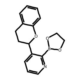 c1ccc2c(c1)CCC(c1cccnc1B1OCCO1)O2